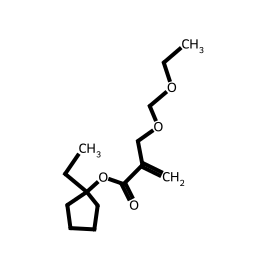 C=C(COCOCC)C(=O)OC1(CC)CCCC1